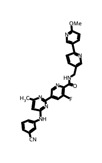 COc1ccc(-c2ccc(CNC(=O)c3ncc(-c4nc(C)cc(Nc5cccc(C#N)c5)n4)cc3F)cn2)cn1